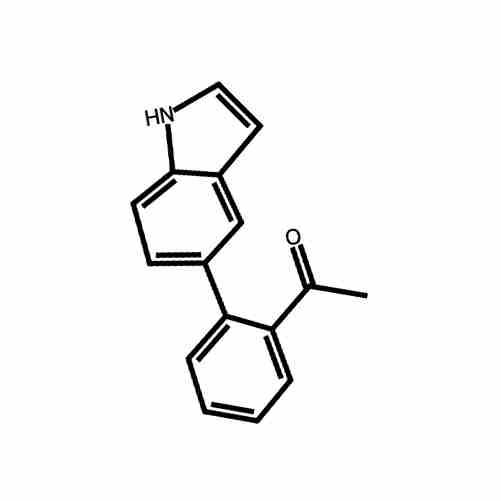 CC(=O)c1ccccc1-c1ccc2[nH]ccc2c1